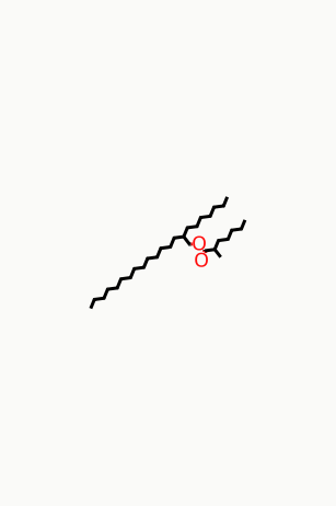 CCCCCCCCCCCCCCC(CCCCCCC)COC(=O)C(C)CCCCC